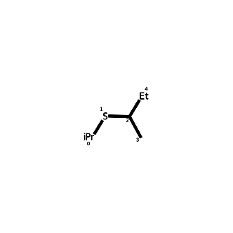 [CH2]C(C)SC(C)CC